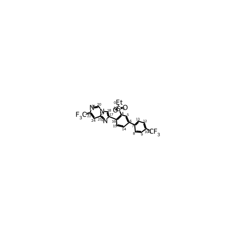 CCS(=O)(=O)c1cc(-c2ccc(C(F)(F)F)cc2)ccc1-c1cn2cnc(C(F)(F)F)cc2n1